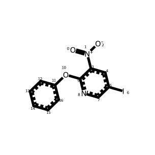 O=[N+]([O-])c1cc(I)cnc1Oc1ccccc1